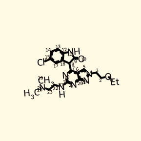 CCOCCn1cc2c(C3C(=O)Nc4ccc(Cl)cc43)nc(NCCN(C)C)nc2n1